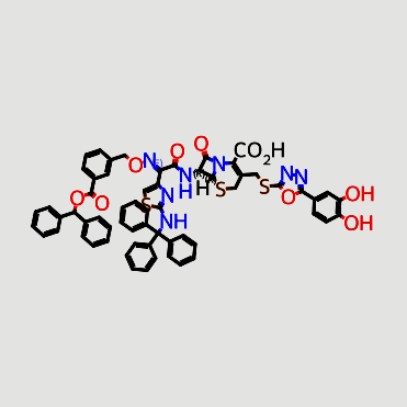 O=C(O)C1=C(CSc2nnc(-c3ccc(O)c(O)c3)o2)CS[C@@H]2[C@H](NC(=O)/C(=N/OCc3cccc(C(=O)OC(c4ccccc4)c4ccccc4)c3)c3csc(NC(c4ccccc4)(c4ccccc4)c4ccccc4)n3)C(=O)N12